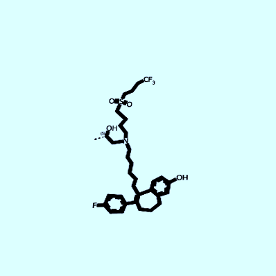 C[C@H](O)CN(CCCCCCC1=C(c2ccc(F)cc2)CCCc2cc(O)ccc21)CCCCS(=O)(=O)CCCC(F)(F)F